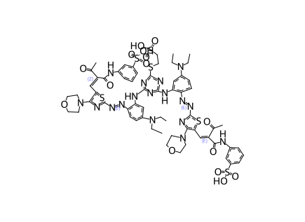 CCN(CC)c1ccc(/N=N/c2nc(N3CCOCC3)c(/C=C(/C(C)=O)C(=O)Nc3cccc(S(=O)(=O)O)c3)s2)c(Nc2nc(Nc3cc(N(CC)CC)ccc3/N=N/c3nc(N4CCOCC4)c(/C=C(\C(C)=O)C(=O)Nc4cccc(S(=O)(=O)O)c4)s3)nc(SCCS(=O)(=O)O)n2)c1